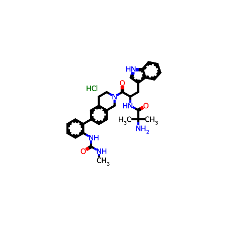 CNC(=O)Nc1ccccc1-c1ccc2c(c1)CCN(C(=O)C(Cc1c[nH]c3ccccc13)NC(=O)C(C)(C)N)C2.Cl